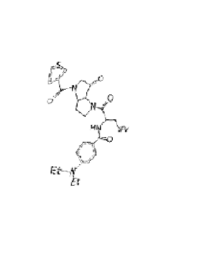 CCN(CC)c1ccc(C(=O)NC(CC(C)C)C(=O)N2CCC3C2C(=O)CN3C(=O)c2ccsc2)cc1